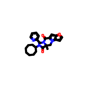 CC1(C(=O)NC2CCCCCCC2)Cn2c(cc3occc32)C(=O)N1Cc1ccccn1